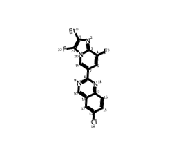 CCc1nc2c(F)cc(-c3ncc4cc(Cl)ccc4n3)cn2c1F